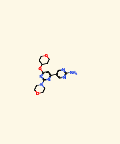 Nc1ncc(-c2cc(OC3CCOCC3)nc(N3CCOCC3)n2)cn1